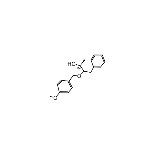 COc1ccc(COC(Cc2ccccc2)[C@H](C)O)cc1